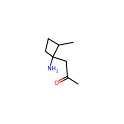 CC(=O)CC1(N)CCC1C